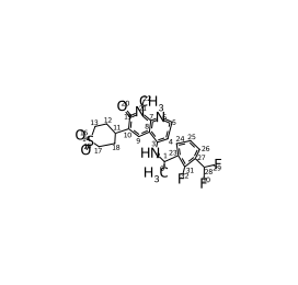 C[C@@H](Nc1ccnc2c1cc(C1CCS(=O)(=O)CC1)c(=O)n2C)c1cccc(C(F)F)c1F